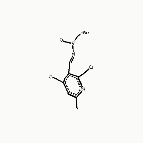 Cc1cc(Cl)c(/C=N/[S+]([O-])C(C)(C)C)c(Cl)n1